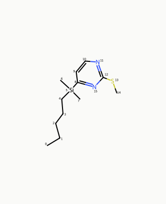 CCCCC[Si](C)(C)c1ccnc(SC)n1